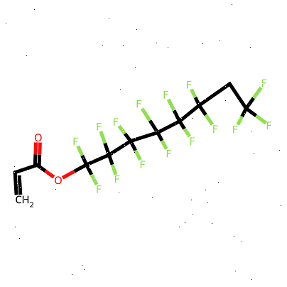 C=CC(=O)OC(F)(F)C(F)(F)C(F)(F)C(F)(F)C(F)(F)C(F)(F)CC(F)(F)F